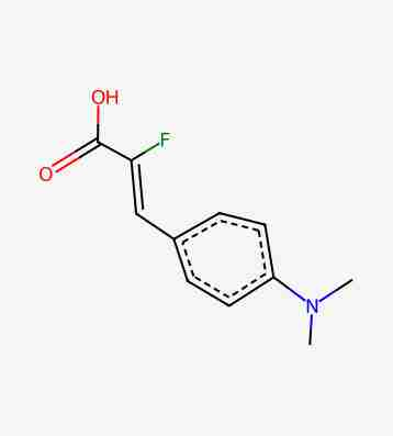 CN(C)c1ccc(C=C(F)C(=O)O)cc1